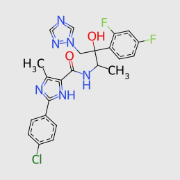 Cc1nc(-c2ccc(Cl)cc2)[nH]c1C(=O)NC(C)C(O)(Cn1cncn1)c1ccc(F)cc1F